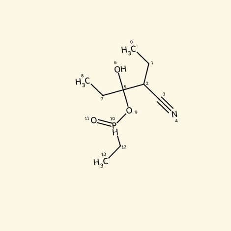 CCC(C#N)C(O)(CC)O[PH](=O)CC